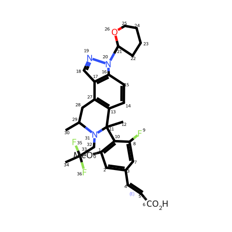 COc1cc(/C=C/C(=O)O)cc(F)c1C1(C)c2ccc3c(cnn3C3CCCCO3)c2CC(C)N1CC(C)(F)F